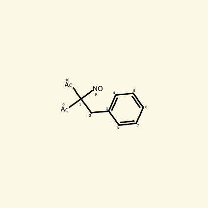 CC(=O)C(Cc1ccccc1)(N=O)C(C)=O